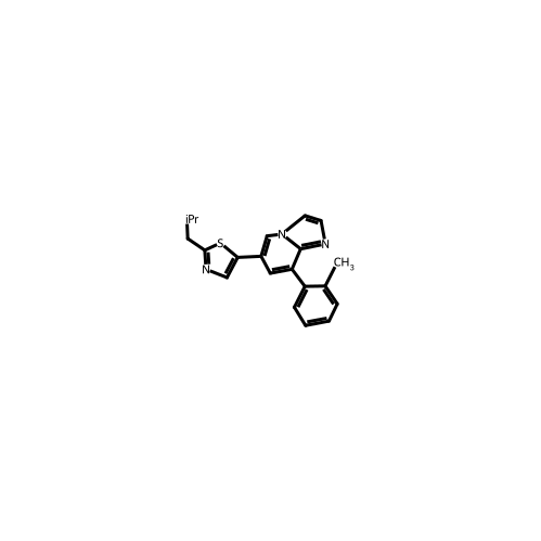 Cc1ccccc1-c1cc(-c2cnc(CC(C)C)s2)cn2ccnc12